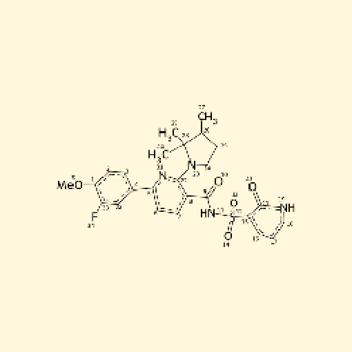 COc1ccc(-c2ccc(C(=O)NS(=O)(=O)c3ccc[nH]c3=O)c(N3CCC(C)C3(C)C)n2)cc1F